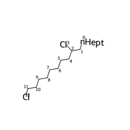 CCCCCCCCC(Cl)CCCCCCCCCl